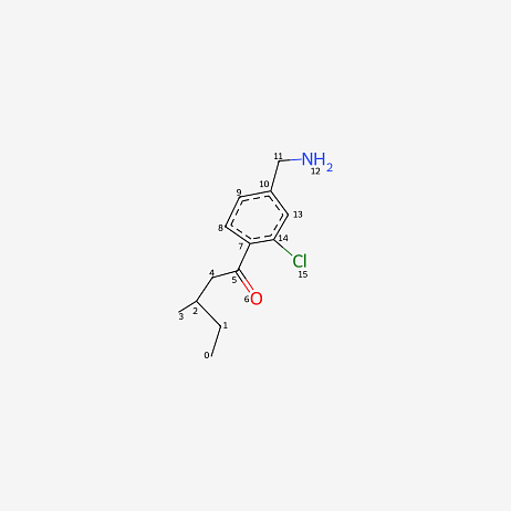 CCC(C)CC(=O)c1ccc(CN)cc1Cl